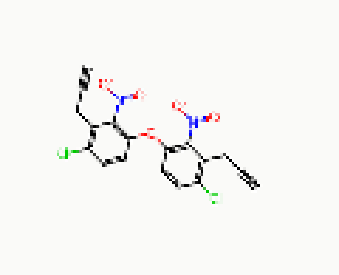 C#CCc1c(Cl)ccc(Oc2ccc(Cl)c(CC#C)c2[N+](=O)[O-])c1[N+](=O)[O-]